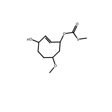 COC1CCC(O)/C=C/C(OC(=O)SC)C1